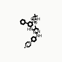 Cc1cnc(Nc2ccc(N3CCN(C)CC3)cc2)nc1Nc1cc(-c2ccccc2)cc(S(=O)(=O)NC(C)(C)C)c1